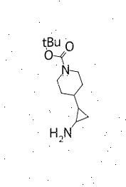 CC(C)(C)OC(=O)N1CCC(C2CC2N)CC1